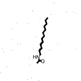 CCCCCCCC/C=C/C=C/CNC(C)=O